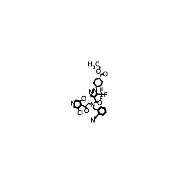 CCOC(=O)[C@H]1CC[C@H](n2ncc(C(=O)N(CC(=O)c3c(Cl)cncc3Cl)Cc3ccccc3C#N)c2C(F)(F)F)CC1